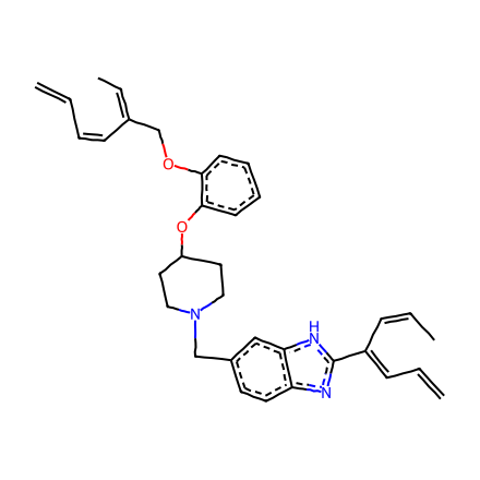 C=C/C=C\C(=C/C)COc1ccccc1OC1CCN(Cc2ccc3nc(C(/C=C\C)=C/C=C)[nH]c3c2)CC1